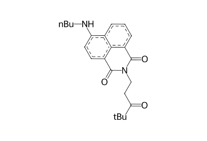 CCCCNc1ccc2c3c(cccc13)C(=O)N(CCC(=O)C(C)(C)C)C2=O